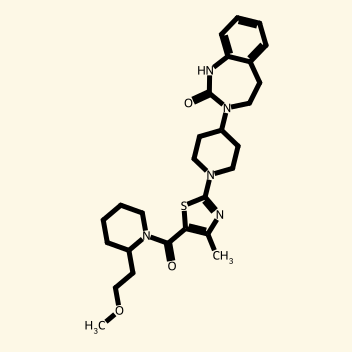 COCCC1CCCCN1C(=O)c1sc(N2CCC(N3CCc4ccccc4NC3=O)CC2)nc1C